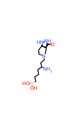 NC(CCCCB(O)O)CCN1CCc2[nH][nH]c(=O)c2C1